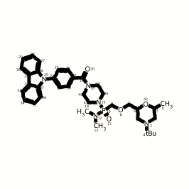 CC1CN(C(C)(C)C)CC(COCP(=O)(N(C)C)N2CCN(C(=O)c3ccc(-n4c5ccccc5c5ccccc54)cc3)CC2)O1